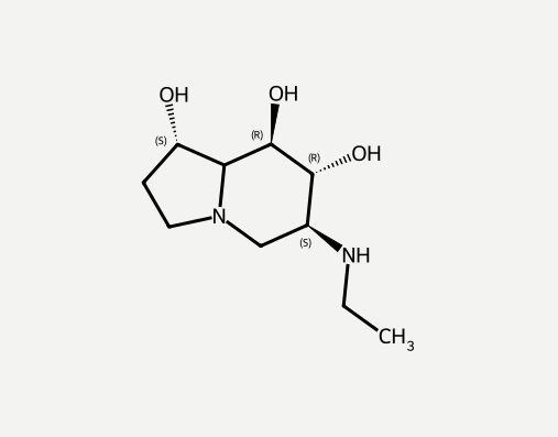 CCN[C@H]1CN2CC[C@H](O)C2[C@@H](O)[C@@H]1O